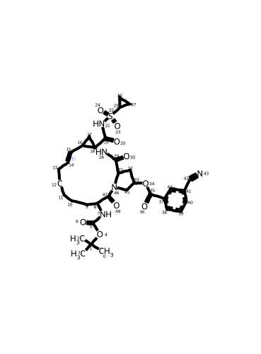 CC(C)(C)OC(=O)NC1CCCCC/C=C/C2CC2(C(=O)NS(=O)(=O)C2CC2)NC(=O)C2CC(OC(=O)c3cccc(C#N)c3)CN2C1=O